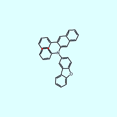 c1ccc(-c2cc3ccccc3cc2N(c2ccccc2)c2ccc3oc4ccccc4c3c2)cc1